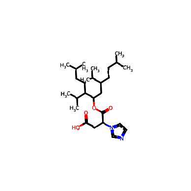 CC(C)CCC(CC(OC(=O)C(CC(=O)O)n1ccnc1)C(CCC(C)C)C(C)C)C(C)C